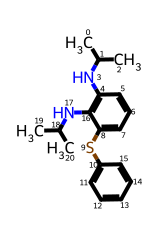 CC(C)Nc1cccc(Sc2ccccc2)c1NC(C)C